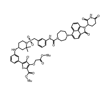 CC(C)(C)OC(=O)COc1c(C(=O)OC(C)(C)C)sc(-c2cccc(N[C@H]3CCN(S(=O)(=O)Cc4cccc(NC(=O)N5CCCN(c6ccc7c8c(cccc68)N(C6CCC(=O)NC6=O)C7=O)CC5)c4)C(C)(C)C3)c2)c1Cl